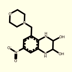 O=[N+]([O-])c1cc(CN2CCOCC2)c2c(c1)NC(O)C(O)N2